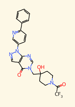 O=C(N1CCC(O)(Cn2cnc3c(cnn3-c3ccc(-c4ccccc4)nc3)c2=O)CC1)C(F)(F)F